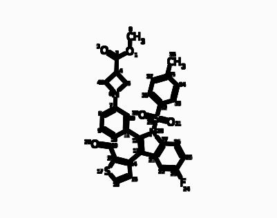 COC(=O)C1CN(c2cccc(-c3c(-c4ccsc4C=O)c4cc(F)ccc4n3S(=O)(=O)c3ccc(C)cc3)c2)C1